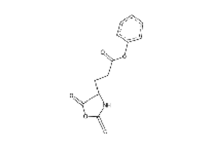 O=C(CCC1NC(=O)OC1=O)Oc1ccccc1